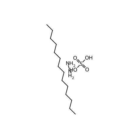 CCCCCCCCCCCCCC.NN.O=S(=O)(O)O